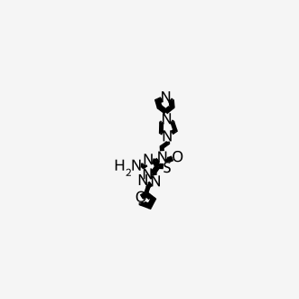 Nc1nc2c(sc(=O)n2CCN2CCN(c3ccncc3)CC2)c2nc(-c3ccco3)nn12